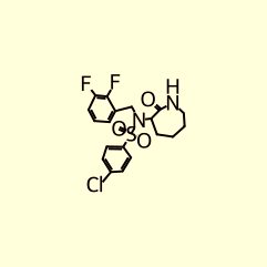 O=C1NCCCCC1N(Cc1cccc(F)c1F)S(=O)(=O)c1ccc(Cl)cc1